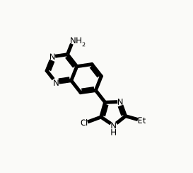 CCc1nc(-c2ccc3c(N)ncnc3c2)c(Cl)[nH]1